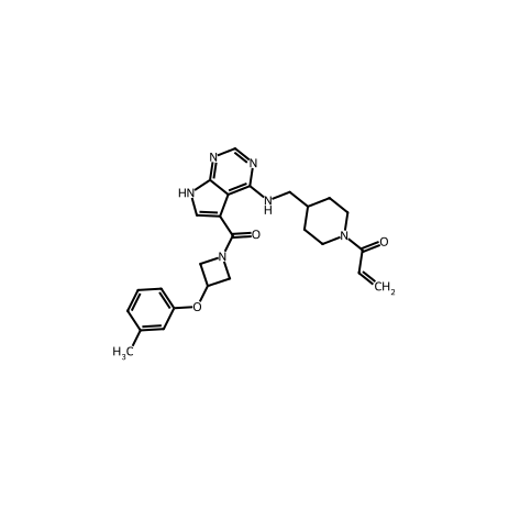 C=CC(=O)N1CCC(CNc2ncnc3[nH]cc(C(=O)N4CC(Oc5cccc(C)c5)C4)c23)CC1